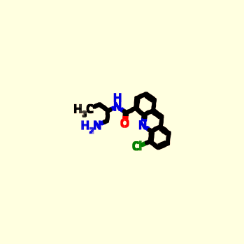 CCC(CN)NC(=O)c1cccc2cc3cccc(Cl)c3nc12